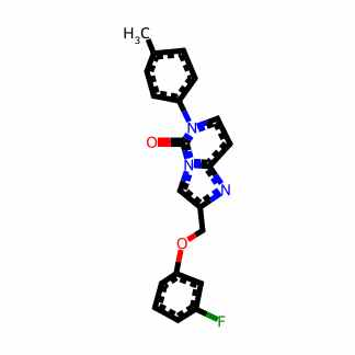 Cc1ccc(-n2ccc3nc(COc4cccc(F)c4)cn3c2=O)cc1